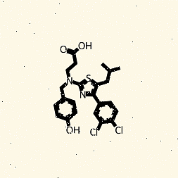 CC(C)Cc1sc(N(CCC(=O)O)Cc2ccc(O)cc2)nc1-c1ccc(Cl)c(Cl)c1